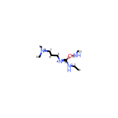 CCN/C(=N/CCCN(C)C)ONC